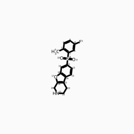 Cc1ccc(F)cc1S(=O)(=O)c1ccc2c3c(oc2c1)CNCC3